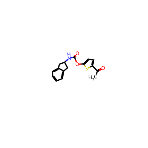 CC(=O)c1ccc(OC(=O)NC2Cc3ccccc3C2)s1